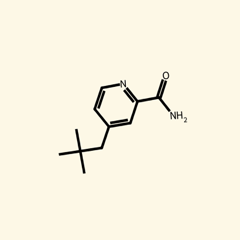 CC(C)(C)Cc1ccnc(C(N)=O)c1